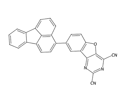 N#Cc1nc(C#N)c2oc3ccc(-c4ccc5c6c(cccc46)-c4ccccc4-5)cc3c2n1